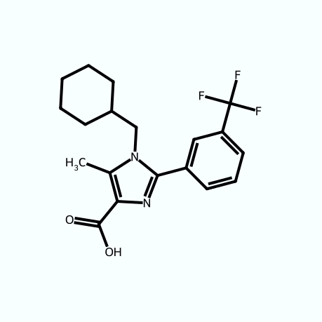 Cc1c(C(=O)O)nc(-c2cccc(C(F)(F)F)c2)n1CC1CCCCC1